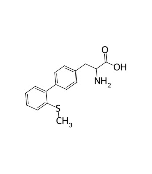 CSc1ccccc1-c1ccc(CC(N)C(=O)O)cc1